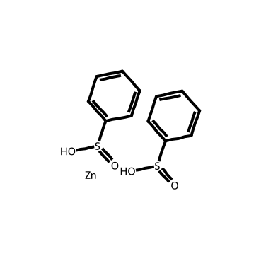 O=S(O)c1ccccc1.O=S(O)c1ccccc1.[Zn]